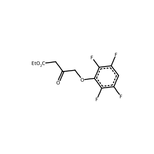 CCOC(=O)CC(=O)COc1c(F)c(F)cc(F)c1F